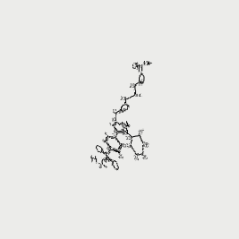 CS(=O)(=O)c1ccc(-c2cc(COCCCO[N+](=O)[O-])nn2C2CCCCC2)cc1